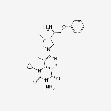 Cc1c(N2CC(C)C(C(N)COc3ccccc3)C2)ncc2c(=O)n(N)c(=O)n(C3CC3)c12